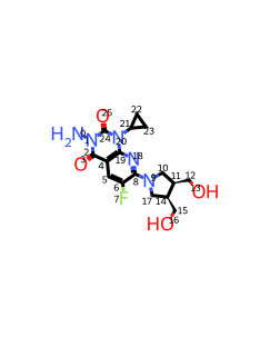 Nn1c(=O)c2cc(F)c(N3C[C@@H](CO)[C@@H](CO)C3)nc2n(C2CC2)c1=O